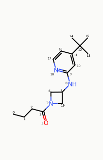 CCCC(=O)N1CC(Nc2cc(C(C)(C)C)ccn2)C1